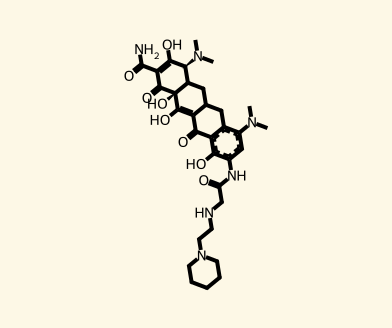 CN(C)c1cc(NC(=O)CNCCN2CCCCC2)c(O)c2c1CC1CC3[C@H](N(C)C)C(O)=C(C(N)=O)C(=O)[C@@]3(O)C(O)=C1C2=O